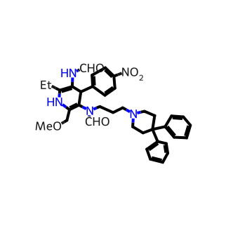 CCC1=C(NC=O)C(c2ccc([N+](=O)[O-])cc2)C(N(C=O)CCCN2CCC(c3ccccc3)(c3ccccc3)CC2)=C(COC)N1